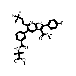 CNC(=O)c1c(-c2ccc(F)cc2)oc2nc(CCC(F)(F)F)c(-c3cccc(C(=O)NC(C)(C)C(=O)OC)c3)cc12